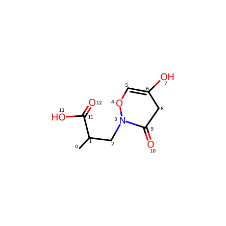 CC(CN1OC=C(O)CC1=O)C(=O)O